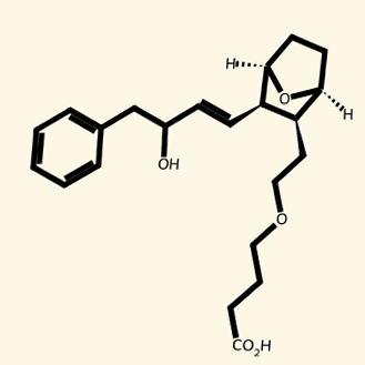 O=C(O)CCCOCC[C@H]1[C@@H](/C=C/C(O)Cc2ccccc2)[C@H]2CC[C@@H]1O2